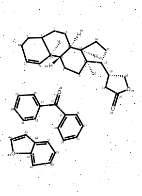 C[C@]12CC[C@H]3[C@@H](CCC4CCC=C[C@@]43C)[C@H]1CC[C@@H]2[C@@H]1COC(=O)C1.O=C(c1ccccc1)c1ccccc1.c1ccc2occc2c1